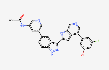 CCCCC(=O)Nc1cncc(-c2ccc3[nH]nc(-c4cc5c(-c6cc(O)cc(F)c6)cncc5[nH]4)c3c2)c1